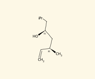 C=C[C@H](C)C[C@@H](O)CC(C)C